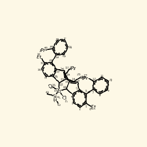 CCc1ccc2c(c1-c1ccccc1C(C)C)C=C(CC(C)C)[CH]2[Zr]([Cl])([Cl])([CH]1C(CC(C)C)=Cc2c1ccc(CC)c2-c1ccccc1C(C)C)[SiH](C)C